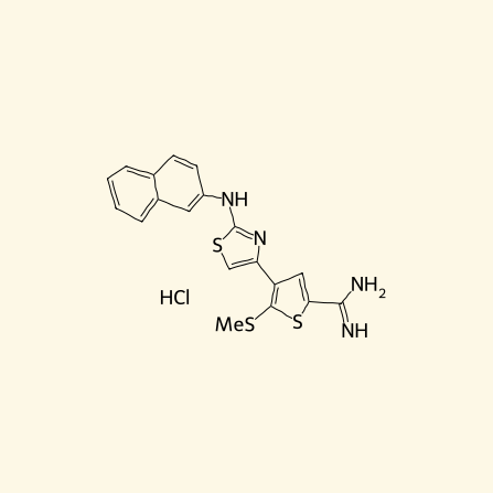 CSc1sc(C(=N)N)cc1-c1csc(Nc2ccc3ccccc3c2)n1.Cl